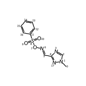 Cn1cnc(C=NOS(=O)(=O)c2ccccc2)n1